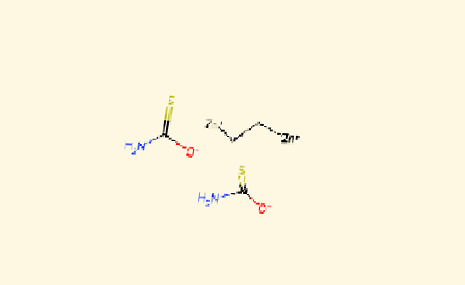 NC([O-])=S.NC([O-])=S.[Zn+][CH2][CH2][Zn+]